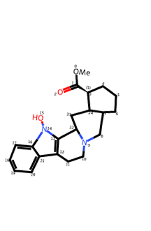 COC(=O)[C@H]1CCCC2CN3CCc4c(n(O)c5ccccc45)C3CC21